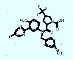 COc1ccc(CN(C(=O)C2CC(C(F)(F)F)CN2C(=O)O)c2ccc(C)c(-c3ncc(F)cn3)c2)cc1